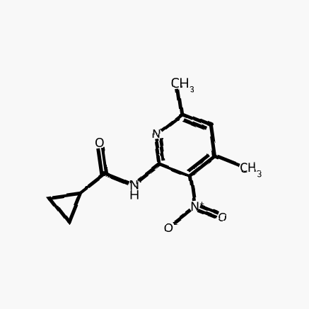 Cc1cc(C)c([N+](=O)[O-])c(NC(=O)C2CC2)n1